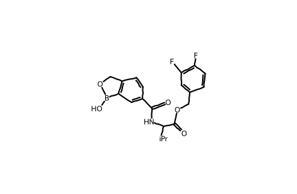 CC(C)C(NC(=O)c1ccc2c(c1)B(O)OC2)C(=O)OCc1ccc(F)c(F)c1